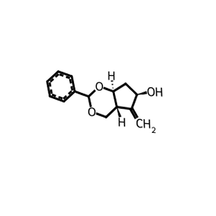 C=C1[C@H](O)C[C@@H]2OC(c3ccccc3)OC[C@@H]12